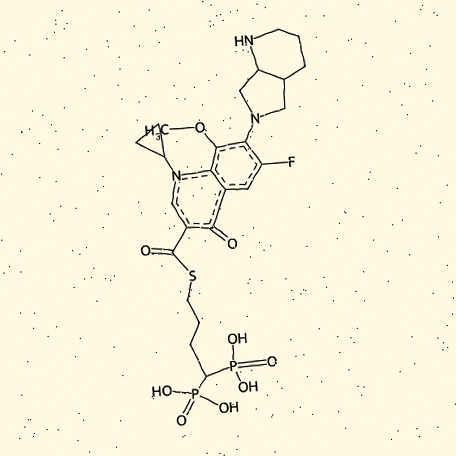 COc1c(N2CC3CCCNC3C2)c(F)cc2c(=O)c(C(=O)SCCCC(P(=O)(O)O)P(=O)(O)O)cn(C3CC3)c12